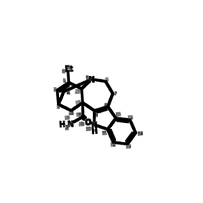 CCC1=CC2CN3CCc4c([nH]c5ccccc45)C(C(N)=O)(C2)C13